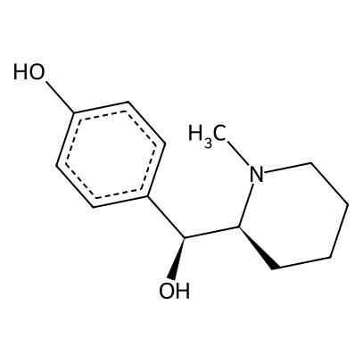 CN1CCCC[C@H]1[C@@H](O)c1ccc(O)cc1